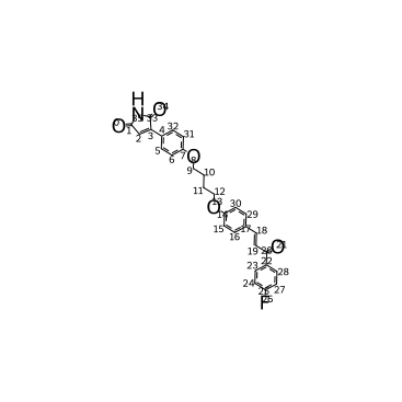 O=C1C=C(c2ccc(OCCCCOc3ccc(C=CC(=O)c4ccc(F)cc4)cc3)cc2)C(=O)N1